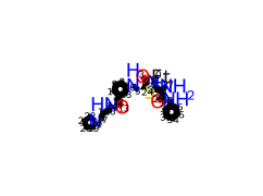 CCN1C(=O)[C@@H](CNc2cccc(C(=O)NCCCN3CCCC3)c2)S/C1=C(/N)C(=O)Nc1ccccc1